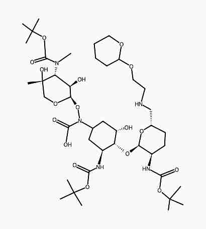 CN(C(=O)OC(C)(C)C)[C@@H]1[C@@H](O)[C@@H](ON(C(=O)O)C2C[C@H](NC(=O)OC(C)(C)C)[C@@H](O[C@H]3O[C@H](CNCCOC4CCCCO4)CC[C@H]3NC(=O)OC(C)(C)C)[C@@H](O)C2)OC[C@]1(C)O